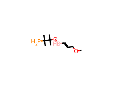 COC/C=C/BOC(C)(C)C(C)(C)P